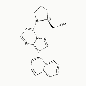 OC[C@@H]1CCCN1c1ccnc2c(-c3cccc4ccccc34)cnn12